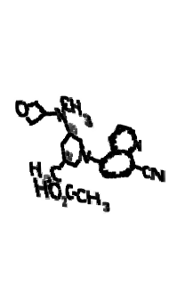 CC(=O)O.C[C@H]1C[C@@H](N(C)C2COC2)CN(c2ccc(C#N)c3ncccc23)C1